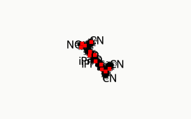 CC(C)c1c(C(C)C)c2c3cc4ccc(N(c5ccc(C#N)cc5)c5ccc(C#N)cc5)cc4cc3oc2c2oc3cc4cc(N(c5ccc(C#N)cc5)c5ccc(C#N)cc5)ccc4cc3c12